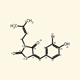 CC(C)=CCN1C(=O)SC(=Cc2ccc(O)c(Br)c2)C1=O